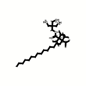 CCCCCCCCCCCCCCCC(C(C)C)(C(C)C)C(C(=O)OCC(CO)(CO)CO)(C(C)C)C(C)C